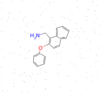 NCc1c(Oc2ccccc2)ccc2ccccc12